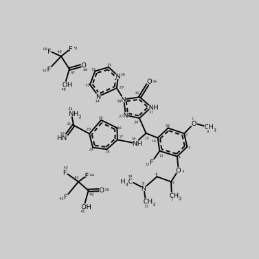 COc1cc(OC(C)CN(C)C)c(F)c(C(Nc2ccc(C(=N)N)cc2)c2nn(-c3ncccn3)c(=O)[nH]2)c1.O=C(O)C(F)(F)F.O=C(O)C(F)(F)F